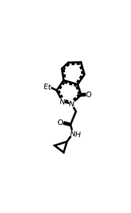 CCc1nn(CC(=O)NC2CC2)c(=O)c2ccccc12